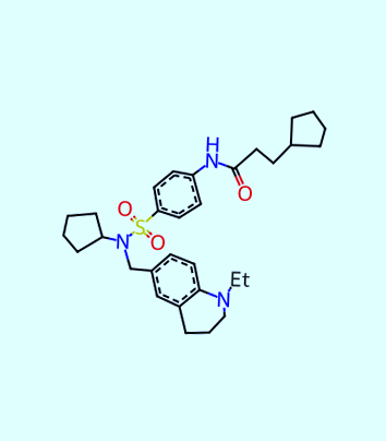 CCN1CCCc2cc(CN(C3CCCC3)S(=O)(=O)c3ccc(NC(=O)CCC4CCCC4)cc3)ccc21